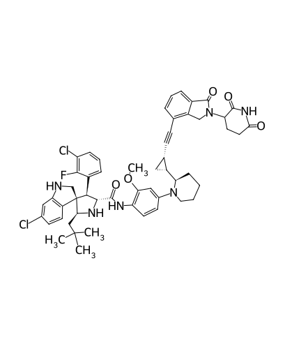 COc1cc(N2CCCC[C@@H]2[C@@H]2C[C@@H]2C#Cc2cccc3c2CN(C2CCC(=O)NC2=O)C3=O)ccc1NC(=O)[C@@H]1N[C@@H](CC(C)(C)C)[C@@]2(CNc3cc(Cl)ccc32)[C@H]1c1cccc(Cl)c1F